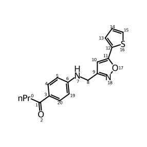 CCCC(=O)c1ccc(NCc2cc(-c3cccs3)on2)cc1